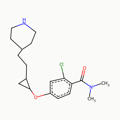 CN(C)C(=O)c1ccc(OC2CC2CCC2CCNCC2)cc1Cl